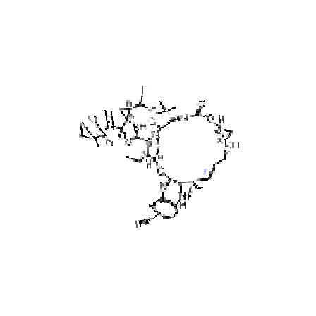 CC[C@@H]1[C@@H]2CN(C(=O)[C@H](C(C)(C)C)NC(=O)O[C@@H]3C[C@H]3CC/C=C/C(F)(F)C3Nc4ccc(C#N)cc4N=C3O2)[C@@H]1C(=O)N[C@]1(C(=O)NS(=O)(=O)C2(C)CC2)C[C@H]1C(F)F